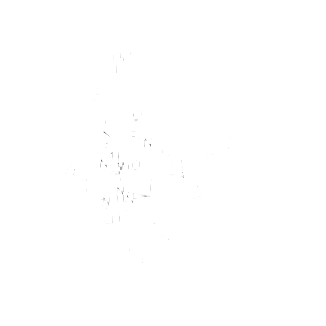 CN1CC(=O)N2[C@@H](Cc3ccc(O)cc3)C(=O)N3CC(c4ccccc4)C4=C\C(O)C(NCc5ccccc5)(\C=C/C=C\4)N1[C@H]2C3